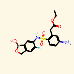 CCOC(=O)Cc1cc(N)ccc1S(=O)(=O)Nc1cc2c(cc1F)COB2O